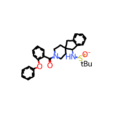 CC(C)(C)[S@@+]([O-])N[C@@H]1c2ccccc2CC12CCN(C(=O)c1ccccc1Oc1ccccc1)CC2